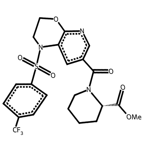 COC(=O)[C@@H]1CCCCN1C(=O)c1cnc2c(c1)N(S(=O)(=O)c1ccc(C(F)(F)F)cc1)CCO2